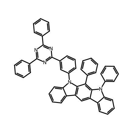 c1ccc(-c2nc(-c3ccccc3)nc(-c3cccc(-n4c5ccccc5c5cc6c7ccccc7n(-c7ccccc7)c6c(-c6ccccc6)c54)c3)n2)cc1